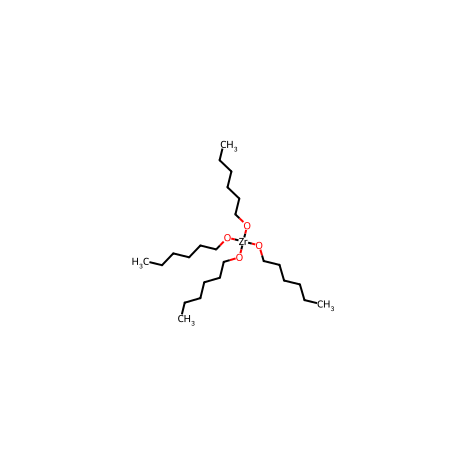 CCCCCC[O][Zr]([O]CCCCCC)([O]CCCCCC)[O]CCCCCC